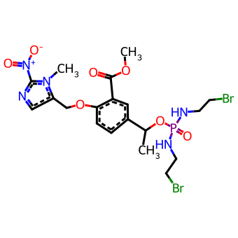 COC(=O)c1cc(C(C)OP(=O)(NCCBr)NCCBr)ccc1OCc1cnc([N+](=O)[O-])n1C